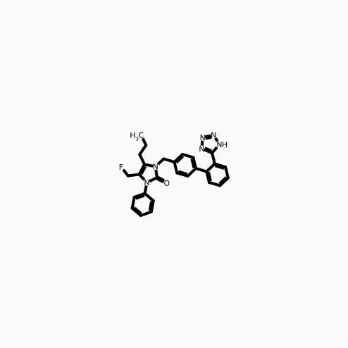 CCCc1c(CF)n(-c2ccccc2)c(=O)n1Cc1ccc(-c2ccccc2-c2nnn[nH]2)cc1